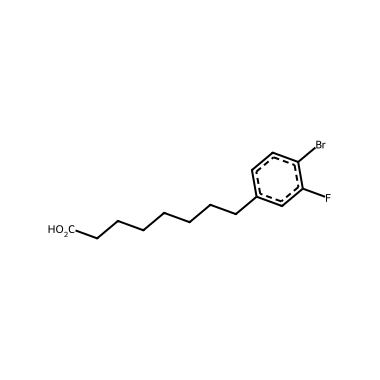 O=C(O)CCCCCCCc1ccc(Br)c(F)c1